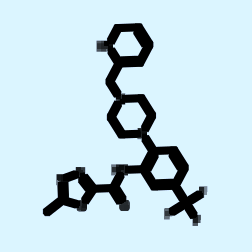 Cc1nnc(C(=O)Nc2cc(C(F)(F)F)ccc2N2CCN(CC3=CC=CCN3)CC2)o1